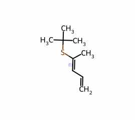 C=C/C=C(\C)SC(C)(C)C